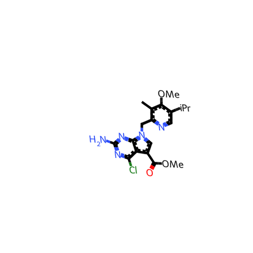 COC(=O)c1cn(Cc2ncc(C(C)C)c(OC)c2C)c2nc(N)nc(Cl)c12